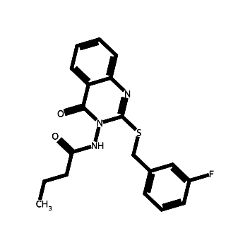 CCCC(=O)Nn1c(SCc2cccc(F)c2)nc2ccccc2c1=O